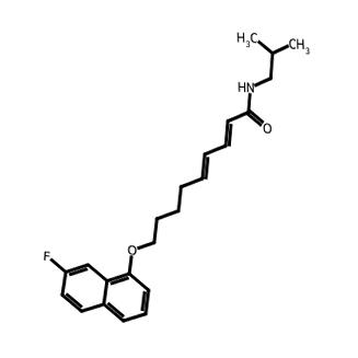 CC(C)CNC(=O)C=CC=CCCCCOc1cccc2ccc(F)cc12